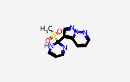 CS(=O)(=O)C1(c2cnn3ncccc23)N=CC=CN1